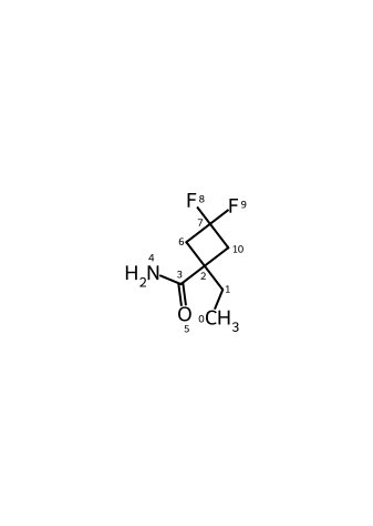 CCC1(C(N)=O)CC(F)(F)C1